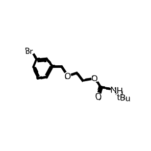 CC(C)(C)NC(=O)OCCOCc1cccc(Br)c1